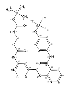 CC(C)(C)OC(=O)NCCC(=O)Nc1cc(CSc2ncccc2C(=O)Nc2ccc(OC(F)(F)F)cc2)ccn1